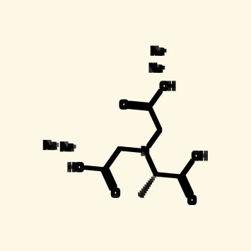 C[C@@H](C(=O)O)N(CC(=O)O)CC(=O)O.[Na].[Na].[Na].[Na]